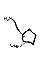 CC(=O)N[C@H]1CCC[C@@H]1CCN